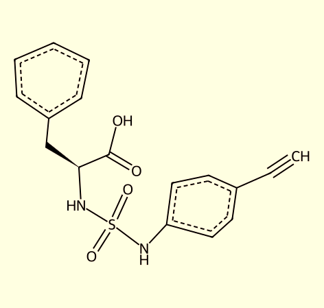 C#Cc1ccc(NS(=O)(=O)N[C@@H](Cc2ccccc2)C(=O)O)cc1